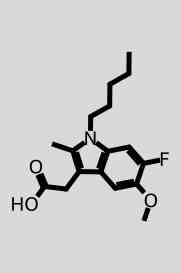 CCCCCn1c(C)c(CC(=O)O)c2cc(OC)c(F)cc21